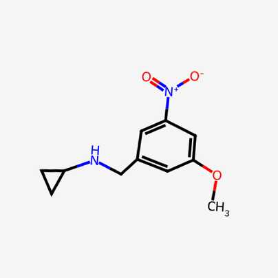 COc1cc(CNC2CC2)cc([N+](=O)[O-])c1